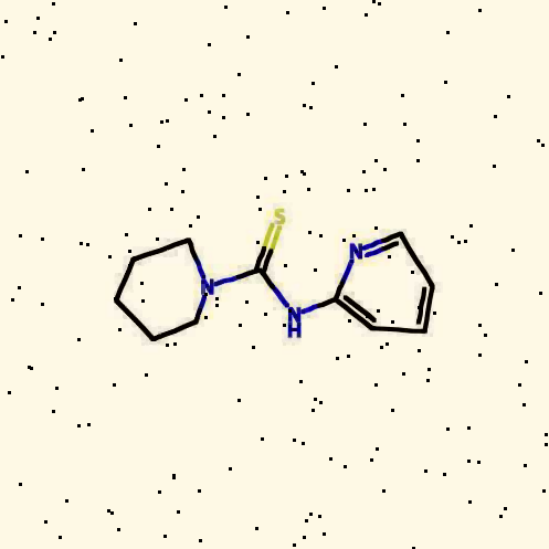 S=C(Nc1ccccn1)N1CCCCC1